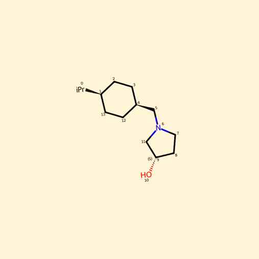 CC(C)[C@H]1CC[C@@H](CN2CC[C@H](O)C2)CC1